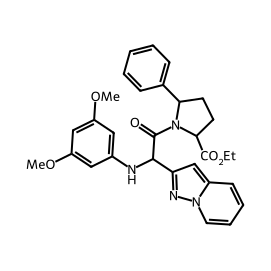 CCOC(=O)C1CCC(c2ccccc2)N1C(=O)C(Nc1cc(OC)cc(OC)c1)c1cc2ccccn2n1